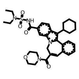 CCN(CC)S(=O)(=O)NC(=O)c1ccc2c(C3CCCCC3)c3n(c2c1)CC(C(=O)N1CCOCC1)=Cc1ccccc1-3